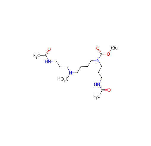 CC(C)(C)OC(=O)N(CCCCN(CCCNC(=O)C(F)(F)F)C(=O)O)CCCNC(=O)C(F)(F)F